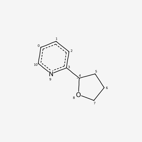 c1ccc([C]2CCCO2)nc1